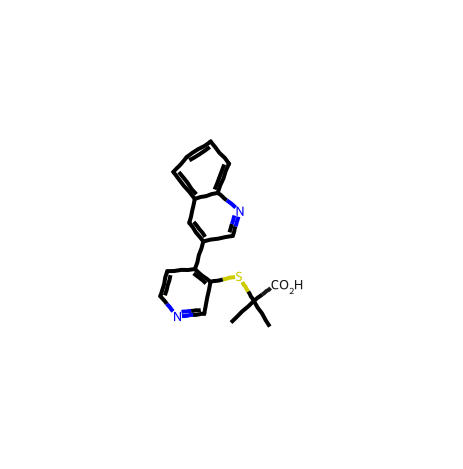 CC(C)(Sc1cnccc1-c1cnc2ccccc2c1)C(=O)O